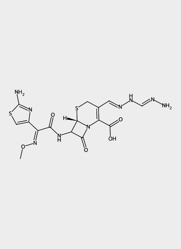 CON=C(C(=O)NC1C(=O)N2C(C(=O)O)=C(C=NNC=NN)CS[C@@H]12)c1csc(N)n1